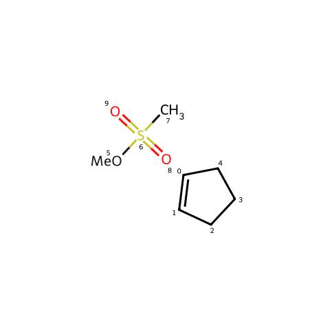 C1=CCCC1.COS(C)(=O)=O